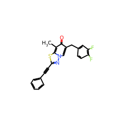 Cc1c(=O)c(Cc2ccc(F)c(F)c2)cn2nc(C#Cc3ccccc3)sc12